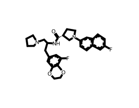 O=C(NC(Cc1cc(F)c2c(c1)OCCO2)CN1CCCC1)[C@@H]1CCN(c2ccc3cc(F)ccc3c2)C1